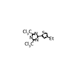 CCc1csc(-c2nc(C(Cl)(Cl)Cl)nc(C(Cl)(Cl)Cl)n2)c1